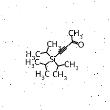 CC(=O)C#C[Si](C(C)C)(C(C)C)C(C)C